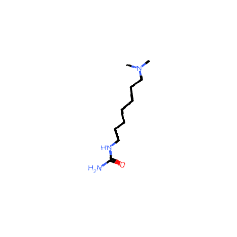 CN(C)CCCCCCCNC(N)=O